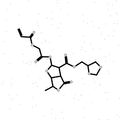 C=CC(=O)OCC(=O)OC1OC2C(C)OC(=O)C2C1C(=O)OCC1COCO1